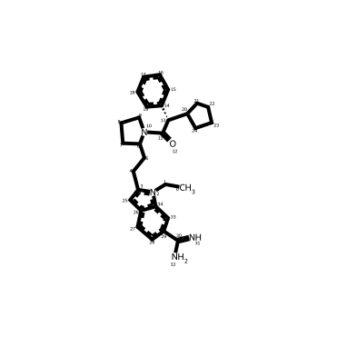 CCn1c(CCC2CCCN2C(=O)[C@H](c2ccccc2)C2CCCC2)cc2ccc(C(=N)N)cc21